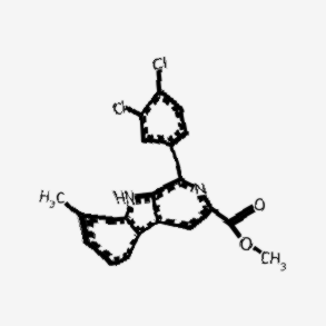 COC(=O)c1cc2c([nH]c3c(C)cccc32)c(-c2ccc(Cl)c(Cl)c2)n1